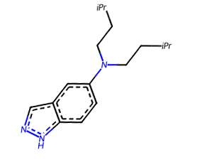 CC(C)CCN(CCC(C)C)c1ccc2[nH]ncc2c1